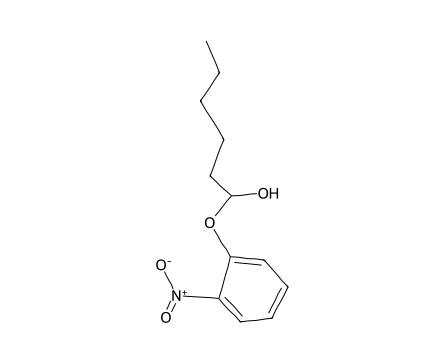 CCCCCC(O)Oc1ccccc1[N+](=O)[O-]